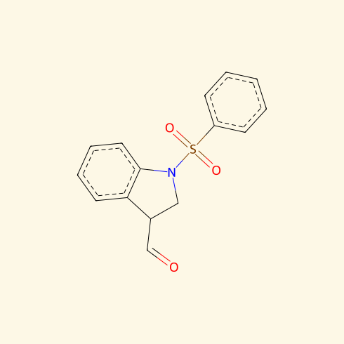 O=CC1CN(S(=O)(=O)c2ccccc2)c2ccccc21